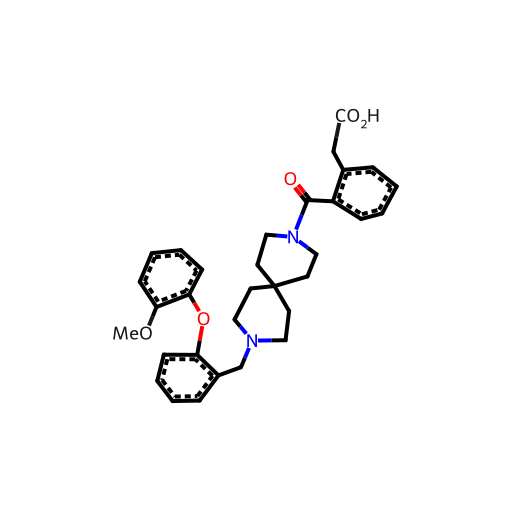 COc1ccccc1Oc1ccccc1CN1CCC2(CC1)CCN(C(=O)c1ccccc1CC(=O)O)CC2